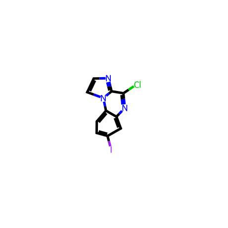 Clc1nc2cc(I)ccc2n2ccnc12